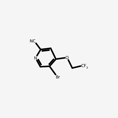 N#Cc1cc(OCC(F)(F)F)c(Br)cn1